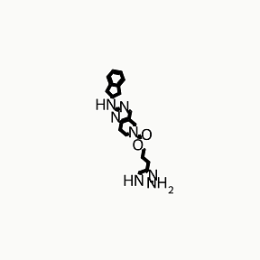 N=C/C(CCCOC(=O)N1CCc2nc(NC3Cc4ccccc4C3)ncc2C1)=N\N